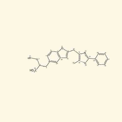 CCCOC(Cc1ccc2oc(Cc3nc(-c4ccccc4)oc3C)cc2c1)C(=O)O